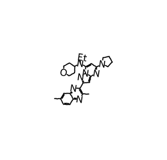 CCN(c1cc(N2CCCC2)nc2cc(-c3nc4cc(C)ccc4nc3C)nn12)C1CCOCC1